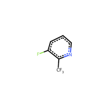 Fc1cccnc1C(F)(F)F